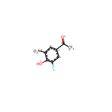 O=C(c1cc(F)c(O)c([N+](=O)[O-])c1)C(F)(F)F